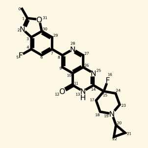 Cc1nc2c(F)cc(-c3cc4c(=O)[nH]c(C5(F)CCN(C6CC6)CC5)nc4cn3)cc2o1